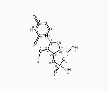 O=c1ccn([C@@H]2O[C@H](CO)[C@@H](OP(=O)(O)O)[C@H]2OF)c(=O)[nH]1